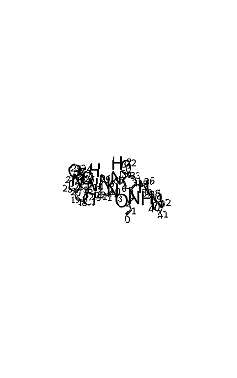 C=CC(=O)Nc1cc(Nc2ncc(Cl)c(Nc3cccc4c3N(S(C)(=O)=O)CC4)n2)c(OC)cc1N(C)CCN1CCC1